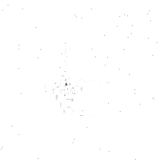 CCCCCCCCCCCCCCCCC(C(C)C)C([O][Ti]([O]C(C(C)C)(C(C)C)C(CCCCCCCCCCCCCCCC)C(C)C)([O]C(C(C)C)(C(C)C)C(CCCCCCCCCCCCCCCC)C(C)C)[O]C(C(C)C)(C(C)C)C(CCCCCCCCCCCCCCCC)C(C)C)(C(C)C)C(C)C